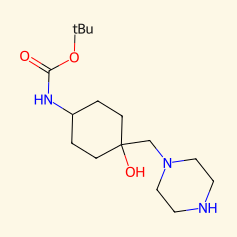 CC(C)(C)OC(=O)NC1CCC(O)(CN2CCNCC2)CC1